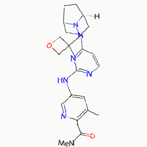 CNC(=O)c1ncc(Nc2nccc(N3CC4CC[C@@H](C3)N4CC3(C)COC3)n2)cc1C